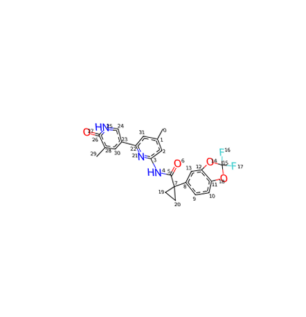 Cc1cc(NC(=O)C2(c3ccc4c(c3)OC(F)(F)O4)CC2)nc(-c2c[nH]c(=O)c(C)c2)c1